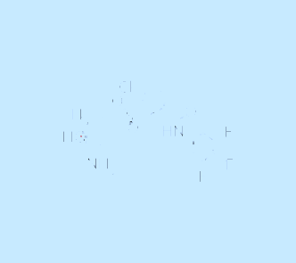 C[C@H]1CC2C[C@@H](S(=O)(=O)c3cc(C(=O)Nc4cc(F)c(F)c(F)c4)ccc3Cl)C[C@H]1[C@]2(O)CN